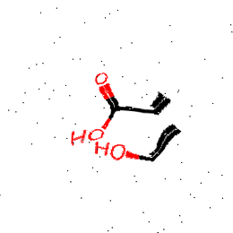 C=CC(=O)O.C=CO